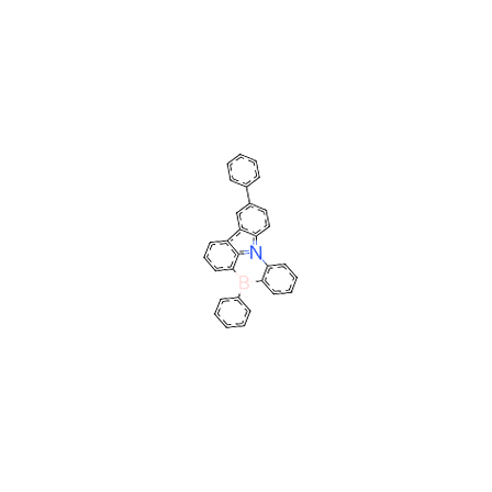 c1ccc(B2c3ccccc3-n3c4ccc(-c5ccccc5)cc4c4cccc2c43)cc1